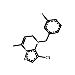 CC1=CCN(Cc2cccc(Cl)c2)c2c(C#N)cnn21